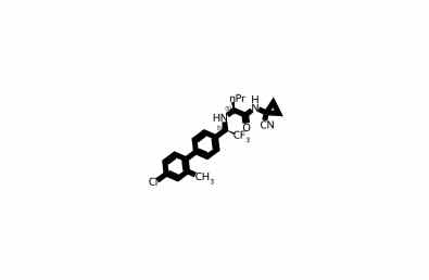 CCC[C@H](N[C@@H](c1ccc(-c2ccc(Cl)cc2C)cc1)C(F)(F)F)C(=O)NC1(C#N)CC1